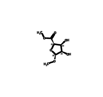 COC(=O)[C@H]1O[C@@H](OC)[C@H](O)[C@@H]1O